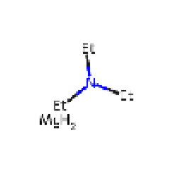 CCN(CC)CC.[MgH2]